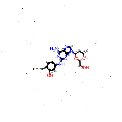 CCCCCCc1ccc(Nc2nc(N)c3ncn([C@@H](C[C@H](C)O)OCCO)c3n2)cc1O